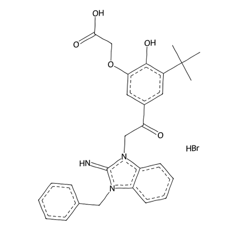 Br.CC(C)(C)c1cc(C(=O)Cn2c(=N)n(Cc3ccccc3)c3ccccc32)cc(OCC(=O)O)c1O